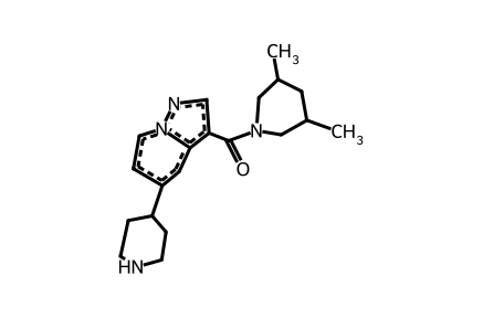 CC1CC(C)CN(C(=O)c2cnn3ccc(C4CCNCC4)cc23)C1